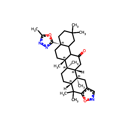 Cc1nnc([C@]23CCC(C)(C)CC2C2C(=O)C[C@@H]4[C@@]5(C)Cc6cnoc6C(C)(C)[C@@H]5CC[C@@]4(C)[C@]2(C)CC3)o1